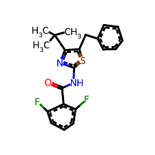 CC(C)(C)c1nc(NC(=O)c2c(F)cccc2F)sc1Cc1ccccc1